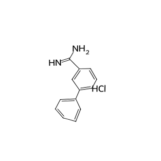 Cl.N=C(N)c1cccc(-c2ccccc2)c1